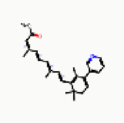 COC(=O)\C=C(C)/C=C/C=C(C)/C=C/C1=C(C)C(c2cccnc2)=CCC1(C)C